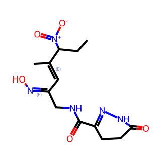 CCC(/C(C)=C/C(CNC(=O)C1=NNC(=O)CC1)=N\O)[N+](=O)[O-]